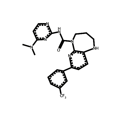 CN(C)c1ccnc(NC(=O)N2CCCNc3ccc(-c4cccc(C(F)(F)F)c4)nc32)n1